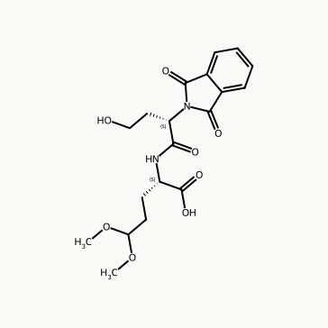 COC(CC[C@H](NC(=O)[C@H](CCO)N1C(=O)c2ccccc2C1=O)C(=O)O)OC